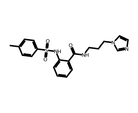 Cc1ccc(S(=O)(=O)Nc2ccccc2C(=O)NCCCn2ccnc2)cc1